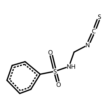 O=S(=O)(NCN=C=S)c1ccccc1